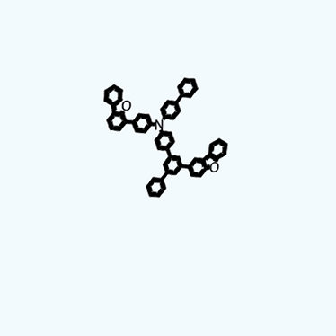 c1ccc(-c2ccc(N(c3ccc(-c4cc(-c5ccccc5)cc(-c5ccc6oc7ccccc7c6c5)c4)cc3)c3ccc(-c4cccc5c4oc4ccccc45)cc3)cc2)cc1